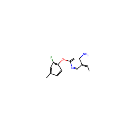 C=C(/N=C\C(=C/C)CN)Oc1ccc(C)cc1F